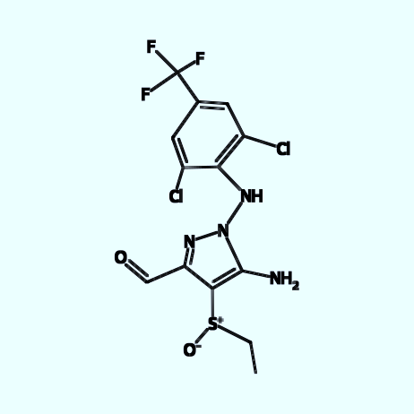 CC[S+]([O-])c1c(C=O)nn(Nc2c(Cl)cc(C(F)(F)F)cc2Cl)c1N